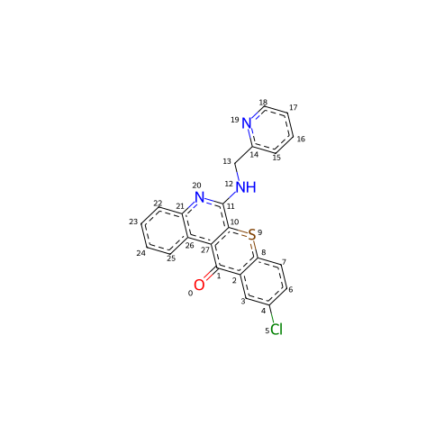 O=c1c2cc(Cl)ccc2sc2c(NCc3ccccn3)nc3ccccc3c12